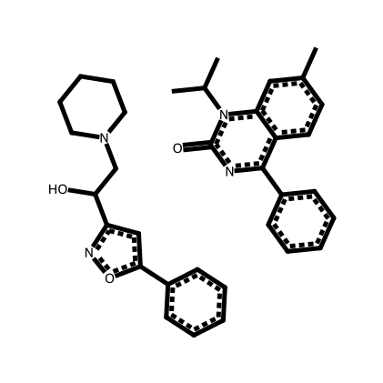 Cc1ccc2c(-c3ccccc3)nc(=O)n(C(C)C)c2c1.OC(CN1CCCCC1)c1cc(-c2ccccc2)on1